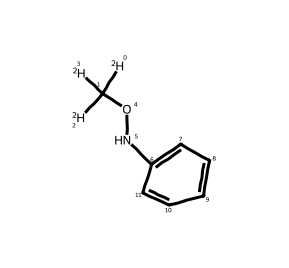 [2H]C([2H])([2H])ONc1ccccc1